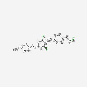 CCCC1CCC(CCc2cc(F)c(C#CC3CCC(C=CF)CC3)c(F)c2)CC1